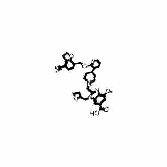 COc1cc(C(=O)O)cc2c1nc(CN1CCC(c3cccnc3OCc3ccc(C#N)c4c3OCC4)CC1)n2CC1CCO1